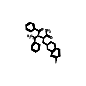 C[C@H](c1ccccc1)N(C(=O)c1ccccc1)C(CC1CCc2ccc(F)cc2C1)C(N)=O